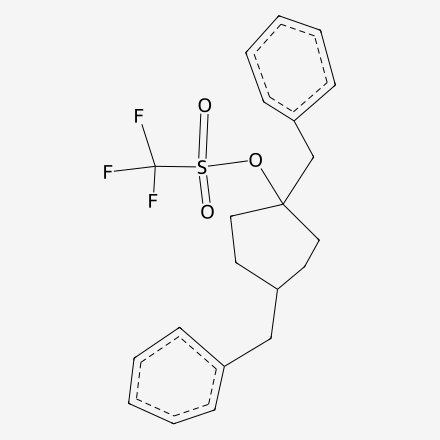 O=S(=O)(OC1(Cc2ccccc2)CCC(Cc2ccccc2)CC1)C(F)(F)F